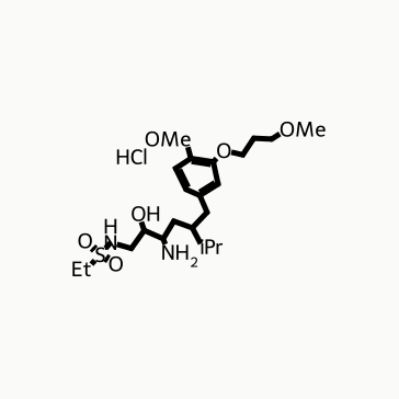 CCS(=O)(=O)NCC(O)C(N)CC(Cc1ccc(OC)c(OCCCOC)c1)C(C)C.Cl